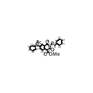 COC(=O)C1C(=O)N(OCc2ccccc2)C(=O)c2cc(N(C(C)=O)c3ccccc3)ccc21